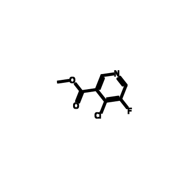 COC(=O)c1cncc(F)c1Cl